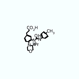 Cc1ccc(NC(=O)Nc2cc(CCC(=O)O)ccc2N2CCOC[C@@H]2C(C)C)cc1